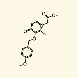 COc1ccc(COc2c(C)n(CC(=O)O)ccc2=O)cc1